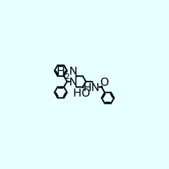 NC1CC(CNC(=O)c2ccccc2)C(O)CN1C(c1ccccc1)c1ccccc1